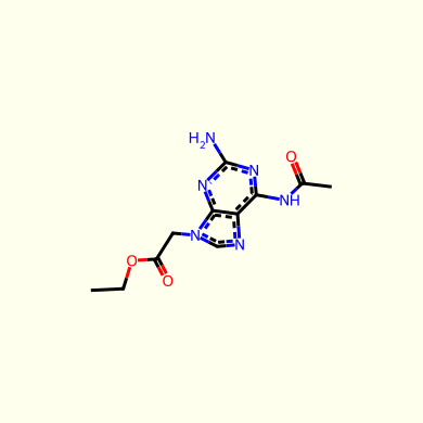 CCOC(=O)Cn1cnc2c(NC(C)=O)nc(N)nc21